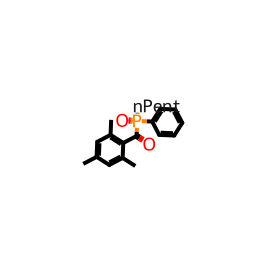 CCCCCP(=O)(C(=O)c1c(C)cc(C)cc1C)c1ccccc1